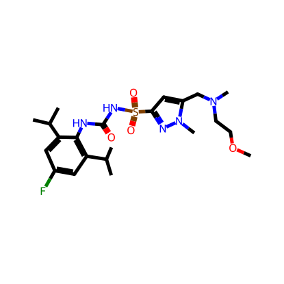 COCCN(C)Cc1cc(S(=O)(=O)NC(=O)Nc2c(C(C)C)cc(F)cc2C(C)C)nn1C